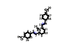 CSc1ccc(/C=C/c2cccc(/C=C/c3ccc(SC)cc3)[n+]2C)cc1